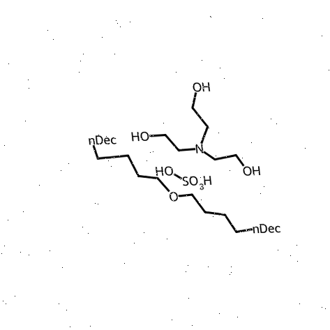 CCCCCCCCCCCCCCOCCCCCCCCCCCCCC.O=S(=O)(O)O.OCCN(CCO)CCO